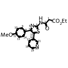 CCOC(=O)CC(=O)Nc1nc(-c2ccc(OC)cc2)c(-c2cccnc2)s1